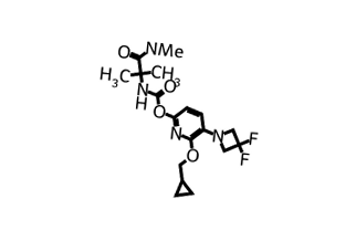 CNC(=O)C(C)(C)NC(=O)Oc1ccc(N2CC(F)(F)C2)c(OCC2CC2)n1